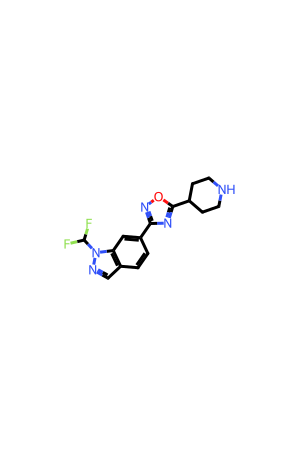 FC(F)n1ncc2ccc(-c3noc(C4CCNCC4)n3)cc21